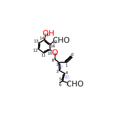 C#C/C(=C\C=C(/C)C=O)COc1cccc(O)c1C=O